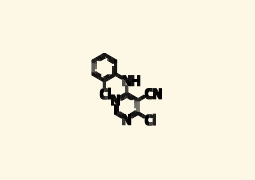 N#Cc1c(Cl)ncnc1Nc1ccccc1Cl